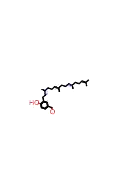 CC(C)=CCC/C(C)=C/CC/C(C)=C/CC/C(C)=C/Cc1cc(C=O)ccc1O